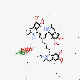 COc1cc2c(cc1OC)C(CCCCC(CCC1NC(C)Cc3cc(OC)c(OC)cc31)CCC1NC(C)Cc3cc(OC)c(OC)cc31)NC(C)C2.Cl.Cl.Cl.O.O.O